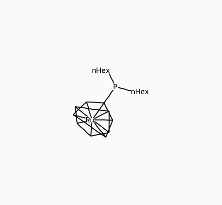 CCCCCCP(CCCCCC)[C]12[CH]3[CH]4[CH]5[CH]1[Ru]45321678[CH]2[CH]1[CH]6[CH]7[CH]28